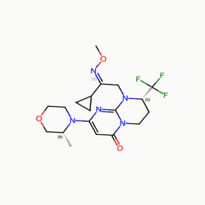 CO/N=C(\CN1c2nc(N3CCOC[C@H]3C)cc(=O)n2CC[C@H]1C(F)(F)F)C1CC1